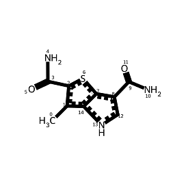 Cc1c(C(N)=O)sc2c(C(N)=O)c[nH]c12